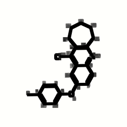 Cc1ccc(Oc2ccc3nc4c(c(Cl)c3c2)CCCCC4)cc1